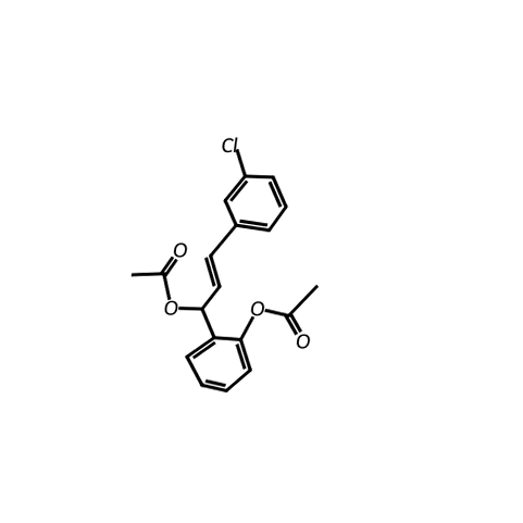 CC(=O)Oc1ccccc1C(C=Cc1cccc(Cl)c1)OC(C)=O